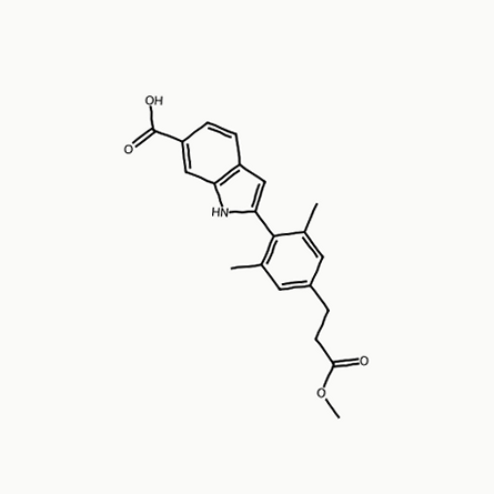 COC(=O)CCc1cc(C)c(-c2cc3ccc(C(=O)O)cc3[nH]2)c(C)c1